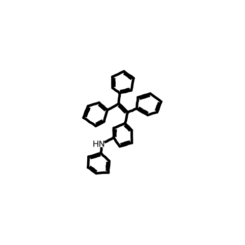 c1ccc(Nc2cccc(C(=C(c3ccccc3)c3ccccc3)c3ccccc3)c2)cc1